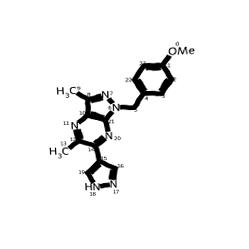 COc1ccc(Cn2nc(C)c3nc(C)c(-c4cn[nH]c4)nc32)cc1